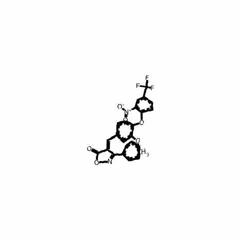 COc1cc(/C=C2/C(=O)ON=C2c2ccccc2)ccc1Oc1ccc(C(F)(F)F)cc1[N+](=O)[O-]